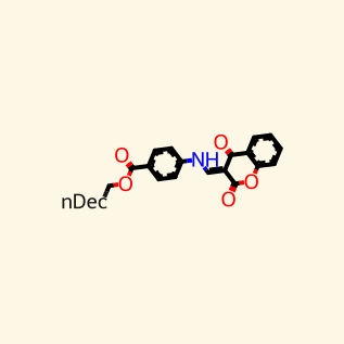 CCCCCCCCCCCOC(=O)c1ccc(NC=C2C(=O)Oc3ccccc3C2=O)cc1